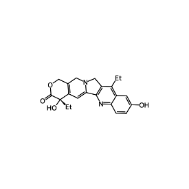 CCc1c2c(nc3ccc(O)cc13)C1=CC3=C(COC(=O)[C@]3(O)CC)CN1C2